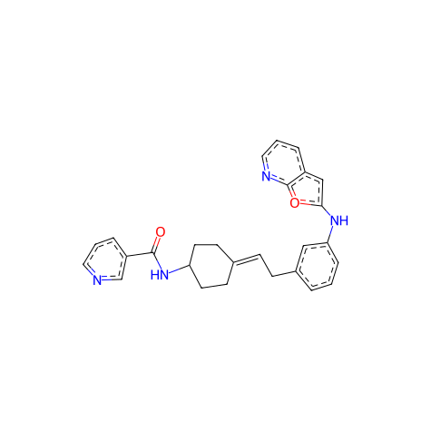 O=C(NC1CCC(=CCc2cccc(Nc3cc4cccnc4o3)c2)CC1)c1cccnc1